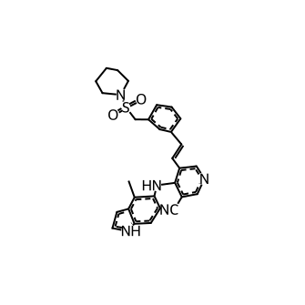 Cc1c(Nc2c(C#N)cncc2/C=C/c2cccc(CS(=O)(=O)N3CCCCC3)c2)ccc2[nH]ccc12